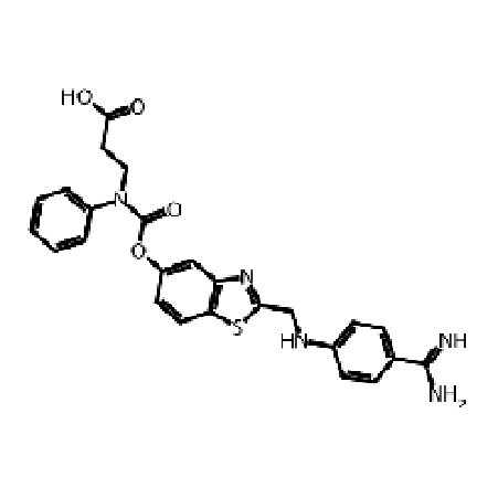 N=C(N)c1ccc(NCc2nc3cc(OC(=O)N(CCC(=O)O)c4ccccc4)ccc3s2)cc1